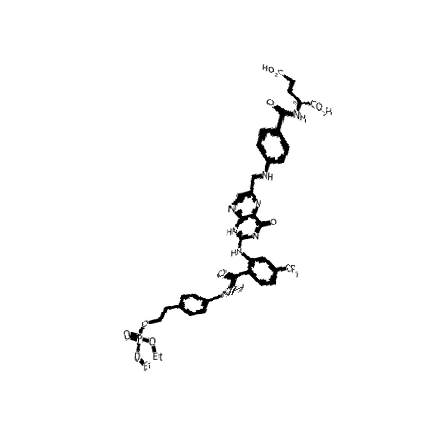 CCOP(=O)(OCC)OCCc1ccc(NC(=O)c2ccc(C(F)(F)F)cc2Nc2nc(=O)c3nc(CNc4ccc(C(=O)N[C@@H](CCC(=O)O)C(=O)O)cc4)cnc3[nH]2)cc1